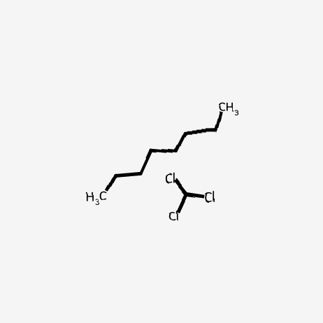 CCCCCCCC.ClC(Cl)Cl